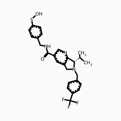 CC(C)[C@H]1c2ncc(C(=O)NCc3ccc(SO)cc3)cc2CN1Cc1ccc(C(F)(F)F)cc1